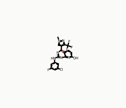 Cn1cc(C(=O)/N=C(/Nc2cc(F)cc(Cl)c2)Nc2cccc(O)n2)c(C(F)(F)F)n1